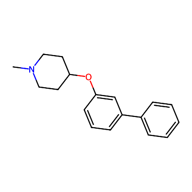 CN1CCC(Oc2cccc(-c3ccccc3)c2)CC1